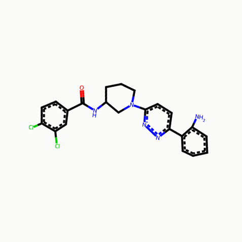 Nc1ccccc1-c1ccc(N2CCCC(NC(=O)c3ccc(Cl)c(Cl)c3)C2)nn1